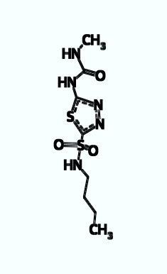 CCCCNS(=O)(=O)c1nnc(NC(=O)NC)s1